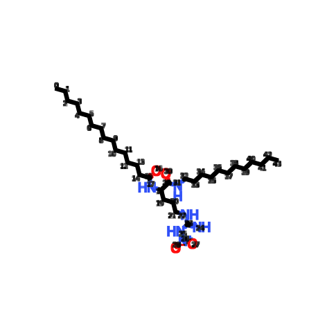 CCCCCCCCCCCCCCCC(=O)NC(CCCNC(=N)N[N+](=O)[O-])C(=O)NCCCCCCCCCCCC